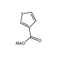 COC(=O)c1[c]csc1